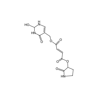 O=C(/C=C/C(=O)OC1CCNC1=O)OCC1=CNC(O)NC1=O